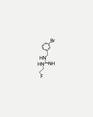 N=C(NCCF)NCc1cccc(Br)c1